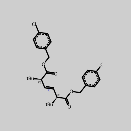 CC(C)(C)[C@H](/C=C/[C@@H](C(=O)OCc1ccc(Cl)cc1)C(C)(C)C)C(=O)OCc1ccc(Cl)cc1